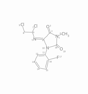 CN1C(=O)C(=NC(Cl)CCl)N(c2ccccc2F)C1=O